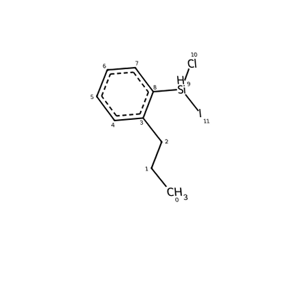 CCCc1ccccc1[SiH](Cl)I